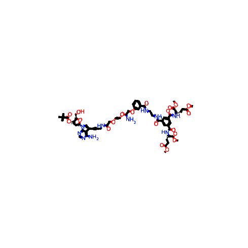 COC(=O)CC[C@H](NC(=O)c1cc(C(=O)NCCNC(=O)c2cccc(OCC(N)OCCOCC(=O)NCC#Cc3cn([C@H]4C[C@H](OC(=O)C(C)(C)C)[C@@H](CO)O4)c4ncnc(N)c34)c2)cc(C(=O)N[C@@H](CCC(=O)OC)C(=O)OC)c1)C(=O)OC